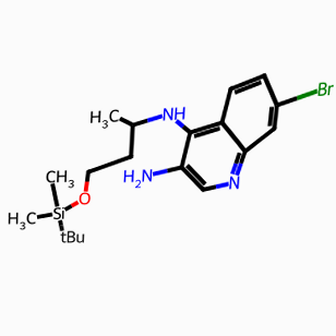 CC(CCO[Si](C)(C)C(C)(C)C)Nc1c(N)cnc2cc(Br)ccc12